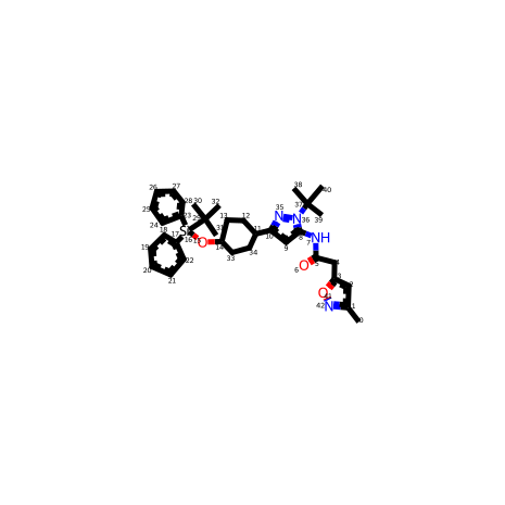 Cc1cc(CC(=O)Nc2cc(C3CCC(O[Si](c4ccccc4)(c4ccccc4)C(C)(C)C)CC3)nn2C(C)(C)C)on1